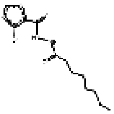 CCCCCCCC(=O)NNC(=O)c1sccc1Br